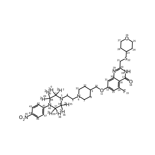 [2H]C1([2H])N(CCN2CCC(COc3cc(F)c4c(=O)[nH]c(CSC5CCOCC5)nc4c3)CC2)C([2H])([2H])C([2H])([2H])N(c2ccc([N+](=O)[O-])cc2)C1([2H])[2H]